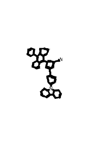 N#Cc1cc(-c2ccc(-n3c4ccccc4c4ccccc43)cc2)cc(-c2c3ccccc3c(-c3ccccc3)c3ccccc23)c1